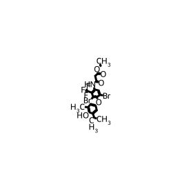 CCOC(=O)CC(=O)Nc1cc(Br)c(Oc2cc(C)c(O)c(C(C)C)c2)c(Br)c1C(F)(F)F